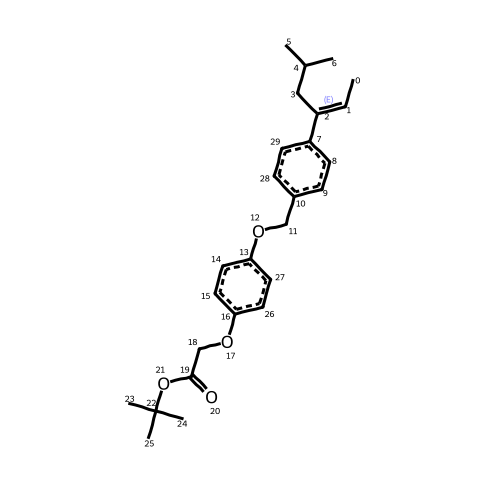 C/C=C(\CC(C)C)c1ccc(COc2ccc(OCC(=O)OC(C)(C)C)cc2)cc1